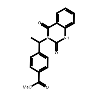 COC(=O)c1ccc(C(C)n2c(=O)[nH]c3ccccc3c2=O)cc1